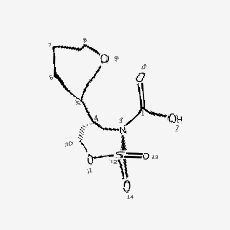 O=C(O)N1[C@@H]([C@H]2CCCO2)COS1(=O)=O